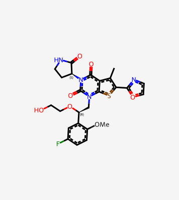 COc1ccc(F)cc1[C@H](Cn1c(=O)n([C@H]2CCNC2=O)c(=O)c2c(C)c(-c3ncco3)sc21)OCCO